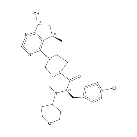 C[C@@H]1C[C@@H](O)c2ncnc(N3CCN(C(=O)[C@@H](Cc4ccc(Cl)cc4)N(C)C4CCOCC4)CC3)c21